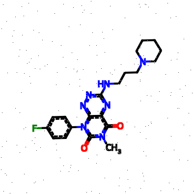 Cn1c(=O)c2nc(NCCCN3CCCCC3)nnc2n(-c2ccc(F)cc2)c1=O